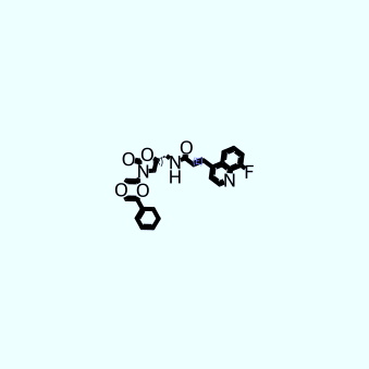 O=C(/C=C/c1ccnc2c(F)cccc12)NC[C@@H]1CN(C2=COC=C(C3=CC=CCC3)O2)C(=O)O1